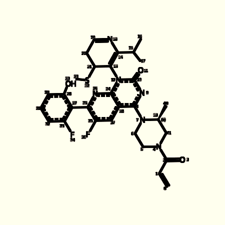 C=CC(=O)N1CCN(c2nc(=O)n(C3=C(C(C)C)N=CCC3SC)c3nc(-c4c(O)cccc4F)c(F)cc23)[C@@H](C)C1